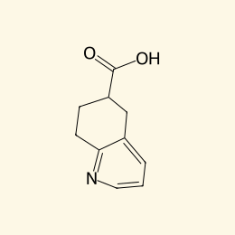 O=C(O)C1CCc2ncccc2C1